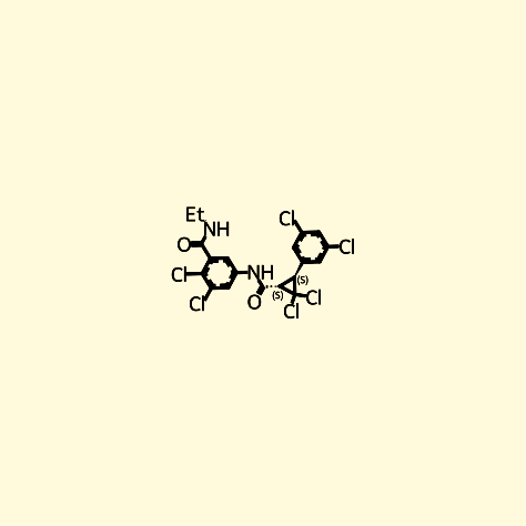 CCNC(=O)c1cc(NC(=O)[C@@H]2[C@@H](c3cc(Cl)cc(Cl)c3)C2(Cl)Cl)cc(Cl)c1Cl